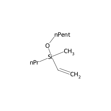 C=C[Si](C)(CCC)OCCCCC